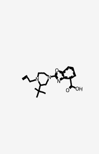 C=CCN1CCN(c2nc3c(C(=O)O)cccc3o2)CC1C(C)(C)C